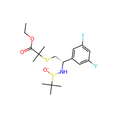 CCOC(=O)C(C)(C)SC[C@@H](N[S+]([O-])C(C)(C)C)c1cc(F)cc(F)c1